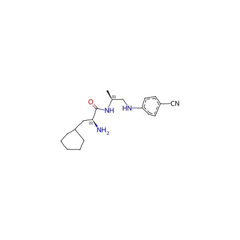 C[C@@H](CNc1ccc(C#N)cc1)NC(=O)[C@@H](N)CC1CCCCC1